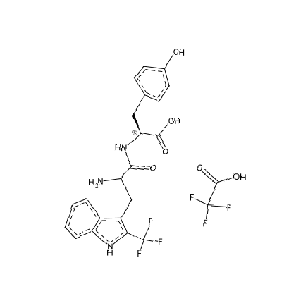 NC(Cc1c(C(F)(F)F)[nH]c2ccccc12)C(=O)N[C@@H](Cc1ccc(O)cc1)C(=O)O.O=C(O)C(F)(F)F